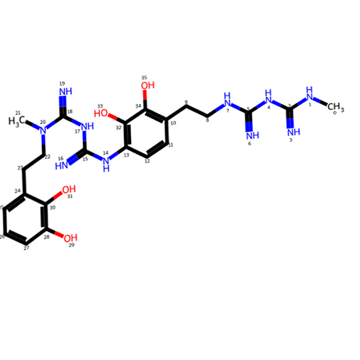 CNC(=N)NC(=N)NCCc1ccc(NC(=N)NC(=N)N(C)CCc2cccc(O)c2O)c(O)c1O